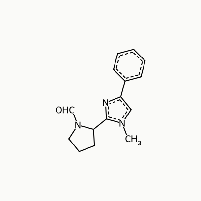 Cn1cc(-c2ccccc2)nc1C1CCCN1C=O